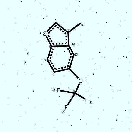 Cc1csc2ccc(OC(F)(F)F)cc12